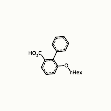 CCCCCCOc1cccc(C(=O)O)c1-c1ccccc1